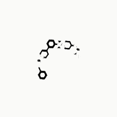 CC(C)(C)OC(=O)NC1CCN(S(=O)(=O)c2cccc(C3=CCN(C(=O)OCc4ccccc4)CC3)c2)CC1